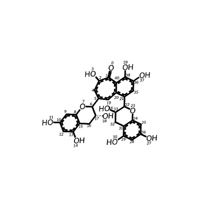 O=c1c(O)cc(C2Oc3cc(O)cc(O)c3C[C@H]2O)cc2c(C3Oc4cc(O)cc(O)c4CC3O)cc(O)c(O)c12